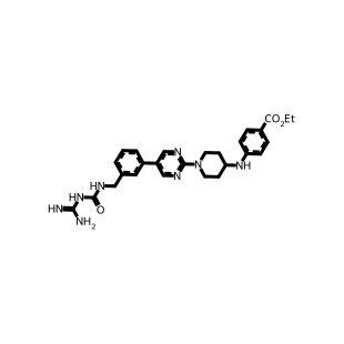 CCOC(=O)c1ccc(NC2CCN(c3ncc(-c4cccc(CNC(=O)NC(=N)N)c4)cn3)CC2)cc1